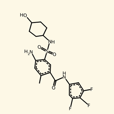 Cc1cc(N)c(S(=O)(=O)NC2CCC(O)CC2)cc1C(=O)Nc1cc(F)c(F)c(F)c1